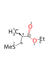 CCOC(=O)[C@H](C)CSC